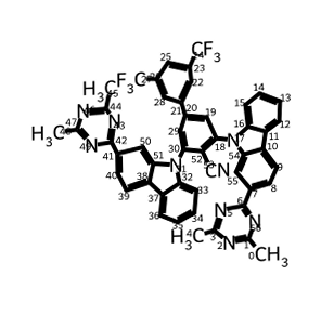 Cc1nc(C)nc(-c2ccc3c4ccccc4n(-c4cc(-c5cc(C(F)(F)F)cc(C(F)(F)F)c5)cc(-n5c6ccccc6c6ccc(-c7nc(C)nc(C)n7)cc65)c4C#N)c3c2)n1